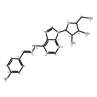 OCC1OC(n2cnc3c(N/N=C/c4ccc(Br)cc4)ncnc32)C(O)C1O